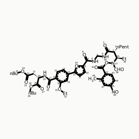 CCCCC[C@@H](C(=O)NCNC(=O)c1ccc(-c2ccc(C(=O)N[C@@H](CC(=O)OCCCC)C(=O)OCCCC)c(OCC)c2)o1)[C@@H](CC)N(C=O)OC(=O)c1ccc(N=O)cc1C